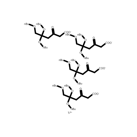 CCCCOCC(CC(=O)CC(=O)[O-])(OCCCC)OCCCC.CCCCOCC(CC(=O)CC(=O)[O-])(OCCCC)OCCCC.CCCCOCC(CC(=O)CC(=O)[O-])(OCCCC)OCCCC.CCCCOCC(CC(=O)CC(=O)[O-])(OCCCC)OCCCC.[Ti+4]